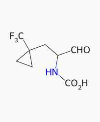 O=CC(CC1(C(F)(F)F)CC1)NC(=O)O